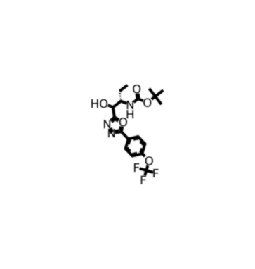 CC[C@H](NC(=O)OC(C)(C)C)C(O)c1nnc(-c2ccc(OC(F)(F)F)cc2)o1